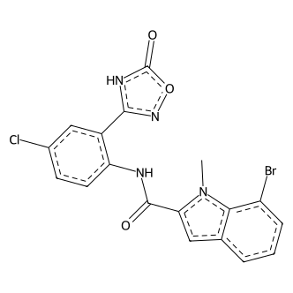 Cn1c(C(=O)Nc2ccc(Cl)cc2-c2noc(=O)[nH]2)cc2cccc(Br)c21